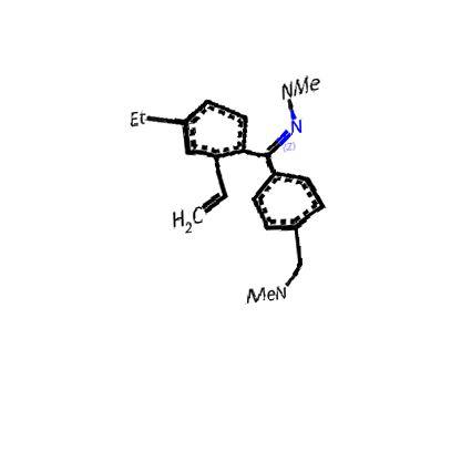 C=Cc1cc(CC)ccc1/C(=N\NC)c1ccc(CNC)cc1